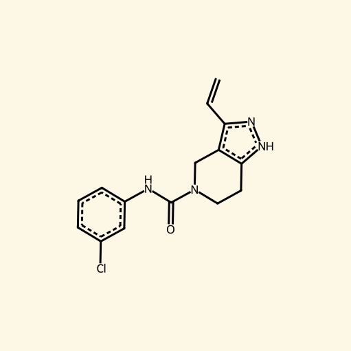 C=Cc1n[nH]c2c1CN(C(=O)Nc1cccc(Cl)c1)CC2